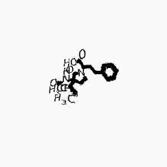 CCC(C)C1(NC(C)=O)CCN(C(CCc2ccccc2)C(=O)O)C1=O